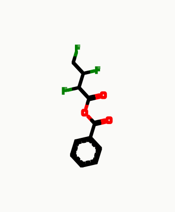 O=C(OC(=O)C(F)C(F)CF)c1ccccc1